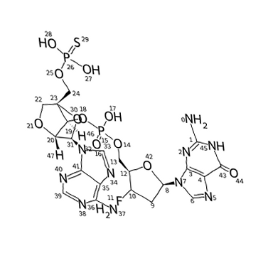 Nc1nc2c(ncn2[C@H]2CC(F)[C@@H](COP(=O)(O)O[C@H]3[C@H]4OC[C@]3(COP(O)(O)=S)O[C@H]4n3cnc4c(N)ncnc43)O2)c(=O)[nH]1